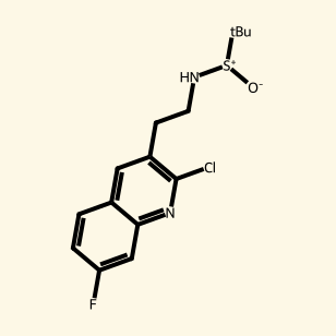 CC(C)(C)[S+]([O-])NCCc1cc2ccc(F)cc2nc1Cl